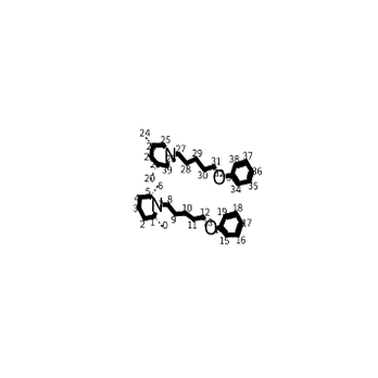 C[C@@H]1CCC[C@H](C)N1CCCCCOc1ccccc1.C[C@@H]1C[C@H](C)CN(CCCCCOc2ccccc2)C1